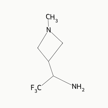 CN1CC(C(N)C(F)(F)F)C1